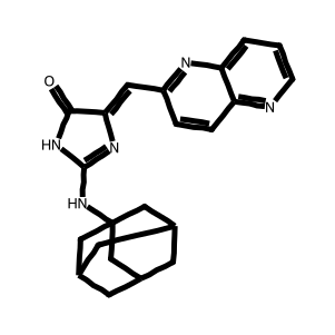 O=C1NC(NC23CC4CC(CC(C4)C2)C3)=N/C1=C\c1ccc2ncccc2n1